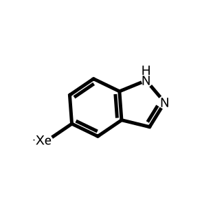 [Xe]c1ccc2[nH]ncc2c1